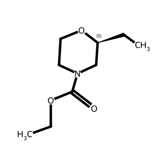 CCOC(=O)N1CCO[C@@H](CC)C1